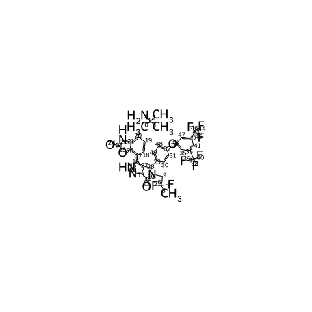 CC(C)(C)N.CC(F)(F)CN1C(=O)c2n[nH]c(-c3cccc4[nH]c(=O)oc34)c2[C@@H]1c1ccc(Oc2cc(C(F)(F)F)cc(C(F)(F)F)c2)cc1